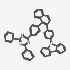 c1ccc(-c2nc(-c3ccccc3)nc(-c3ccc(-c4c(-c5ccc(-n6c7ccccc7c7ccccc76)cc5)ccc5ccccc45)cc3)n2)cc1